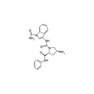 NC(=O)n1cc(NC(=O)N2C[C@@H](N)C[C@H]2C(=O)Nc2ccccc2)c2ccccc21